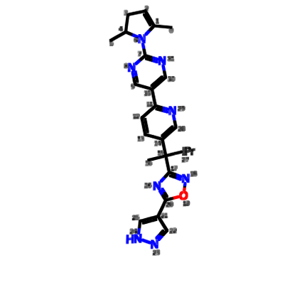 CC1=CCC(C)N1c1ncc(-c2ccc(C(C)(c3noc(-c4cn[nH]c4)n3)C(C)C)cn2)cn1